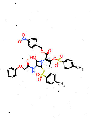 C/C(OS(=O)(=O)c1ccc(C)cc1)=C(/C(=O)OCc1ccc([N+](=O)[O-])cc1)N1C(O)C(NC(=O)COc2ccccc2)C1SS(=O)(=O)c1ccc(C)cc1